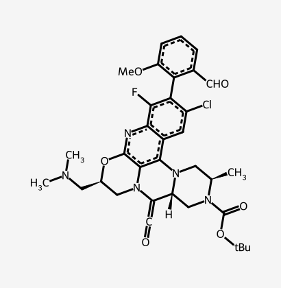 COc1cccc(C=O)c1-c1c(Cl)cc2c3c4c(nc2c1F)O[C@H](CN(C)C)CN4C(=C=O)[C@H]1CN(C(=O)OC(C)(C)C)[C@H](C)CN31